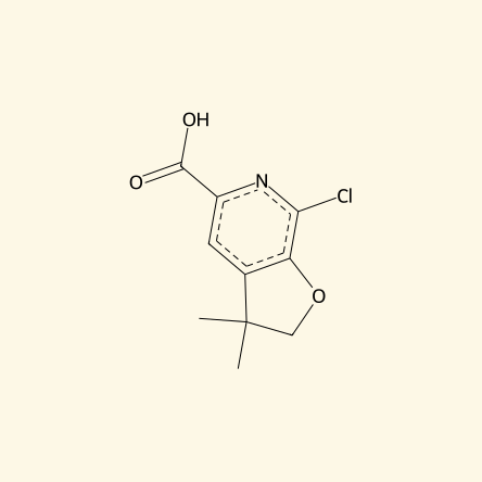 CC1(C)COc2c1cc(C(=O)O)nc2Cl